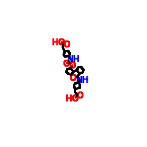 O=C(O)Cc1ccc(NC(=O)Oc2ccccc2-c2ccccc2C(=O)Nc2ccc(CC(=O)O)cc2)cc1